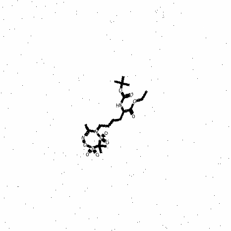 CCOC(=O)C(CCCCN1C(C)=NOS(=O)(=O)C(C)(C)S1(=O)=O)NC(=O)OC(C)(C)C